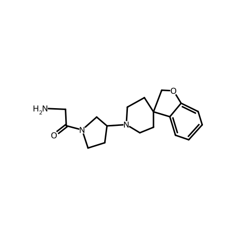 NCC(=O)N1CCC(N2CCC3(CC2)COc2ccccc23)C1